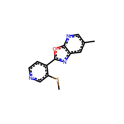 CSc1cnccc1-c1nc2cc(C)cnc2o1